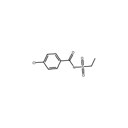 CCS(=O)(=O)[N]C(=O)c1ccc(Cl)cc1